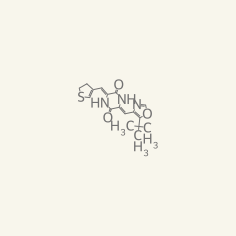 CC(C)(C)c1ocnc1/C=c1\[nH]c(=O)/c(=C/C2=CSCC2)[nH]c1=O